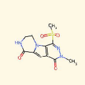 Cn1nc(S(C)(=O)=O)c2c(cc3n2CCNC3=O)c1=O